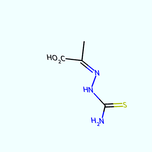 C/C(=N/NC(N)=S)C(=O)O